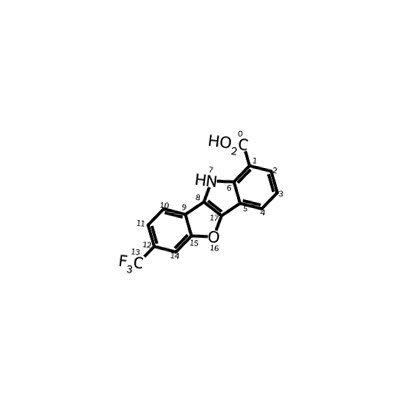 O=C(O)c1cccc2c1[nH]c1c3ccc(C(F)(F)F)cc3oc21